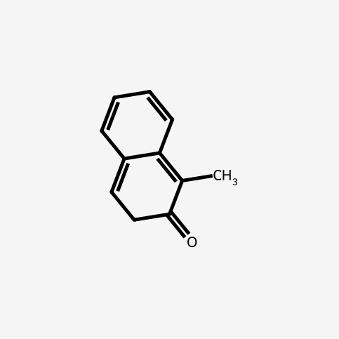 CC1=c2ccccc2=CCC1=O